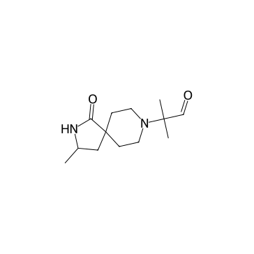 CC1CC2(CCN(C(C)(C)C=O)CC2)C(=O)N1